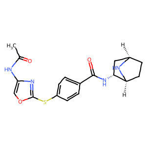 CC(=O)Nc1coc(Sc2ccc(C(=O)N[C@@H]3C[C@H]4CC[C@@H]3N4)cc2)n1